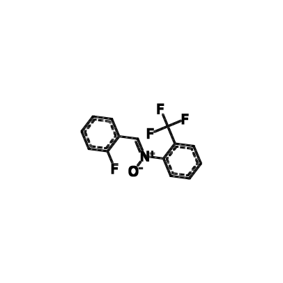 [O-][N+](=Cc1ccccc1F)c1ccccc1C(F)(F)F